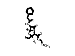 COCOC(=O)C1N2C(=O)C(NC(=O)Cc3ccccc3)[C@H]2SC1(C)CI